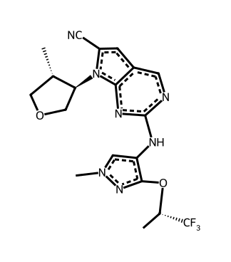 C[C@H](Oc1nn(C)cc1Nc1ncc2cc(C#N)n([C@H]3COC[C@@H]3C)c2n1)C(F)(F)F